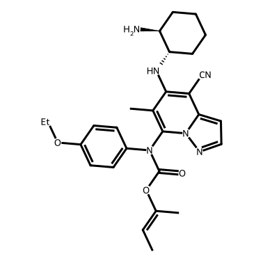 C/C=C(\C)OC(=O)N(c1ccc(OCC)cc1)c1c(C)c(N[C@H]2CCCC[C@@H]2N)c(C#N)c2ccnn12